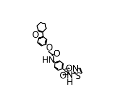 O=C(COc1ccc2oc3c(c2c1)CCCC3)Nc1ccc(S(=O)(=O)Nc2nccs2)cc1